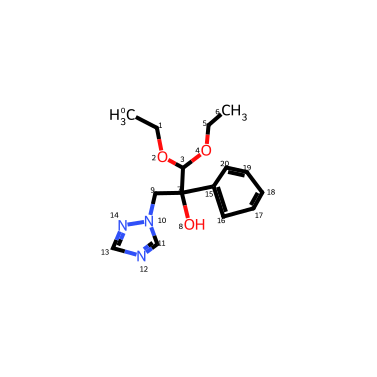 CCOC(OCC)C(O)(Cn1cncn1)c1ccccc1